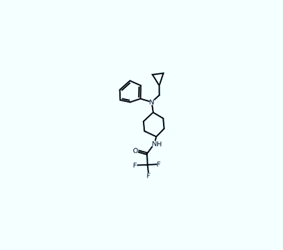 O=C(NC1CCC(N(CC2CC2)c2ccccc2)CC1)C(F)(F)F